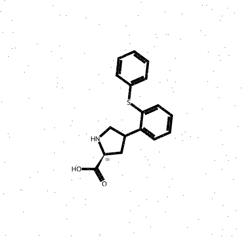 O=C(O)[C@@H]1CC(c2ccccc2Sc2ccccc2)CN1